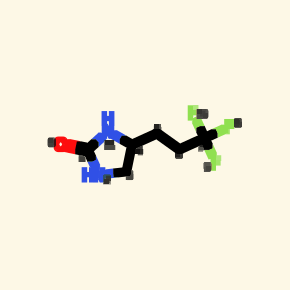 O=C1NCC(CCC(F)(F)F)N1